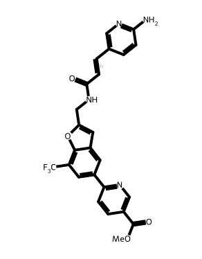 COC(=O)c1ccc(-c2cc(C(F)(F)F)c3oc(CNC(=O)/C=C/c4ccc(N)nc4)cc3c2)nc1